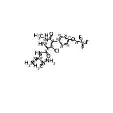 CNC(=O)/C(=C(/Cl)C(=N)C(=O)N/C(=N/N)N(C)N)c1ccc(OCC(F)(F)F)cc1